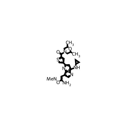 CNO/C(N)=C/c1cnn2c(NC3CC3)cc(-c3csc(C(=O)N4CC(C)OC(C)C4)c3)nc12